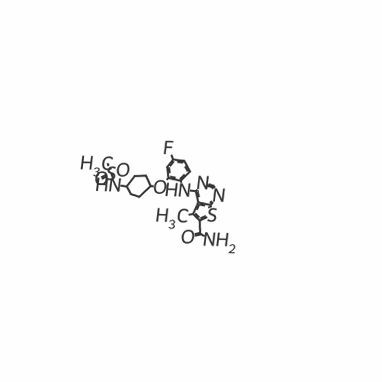 Cc1c(C(N)=O)sc2ncnc(Nc3ccc(F)cc3OC3CCC(NS(C)(=O)=O)CC3)c12